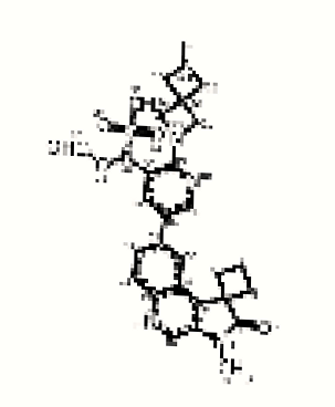 CN1C(=O)C2(CCC2)c2c1cnc1ccc(-c3cnc(N4CC5(CNC5)C4)c(N(OC=O)S(C)(=O)=O)c3)cc21